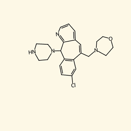 Clc1ccc2c(c1)C(CN1CCOCC1)=Cc1cccnc1C2N1CCNCC1